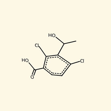 CC(O)c1c(Cl)ccc(C(=O)O)c1Cl